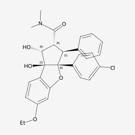 CCOc1ccc2c(c1)O[C@@]1(c3ccc(Cl)cc3)[C@H](c3ccccc3)[C@@H](C(=O)N(C)C)[C@@H](O)[C@@]21O